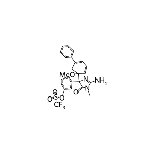 COC1(C2(c3cccc(OS(=O)(=O)C(F)(F)F)c3)N=C(N)N(C)C2=O)C=CC=C(c2ccccc2)C1